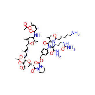 CC(=O)O[C@@H]1[C@@H](/C=C/C(C)=C/C[C@@H]2O[C@H](C)[C@H](NC(=O)/C=C\[C@H](C)OC(C)=O)C[C@@H]2C)O[C@H](CC(=O)N2CCCCN2C(=O)OCc2ccc(N(C(=O)[C@@H](NC(=O)CCCCCN)C(C)C)[C@@H](CCCNC(N)=O)C(N)=O)cc2)C[C@@]12CO2